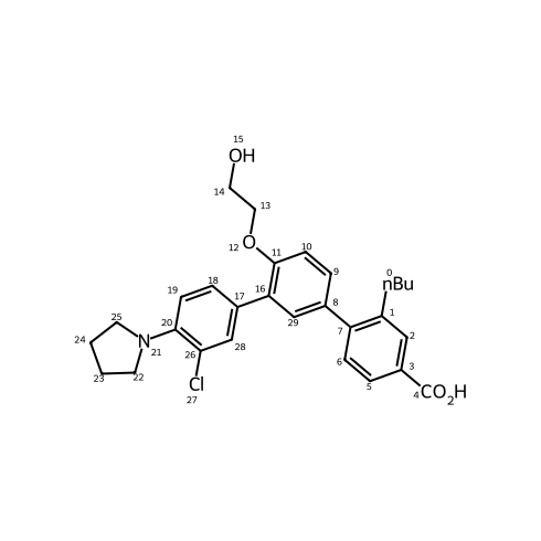 CCCCc1cc(C(=O)O)ccc1-c1ccc(OCCO)c(-c2ccc(N3CCCC3)c(Cl)c2)c1